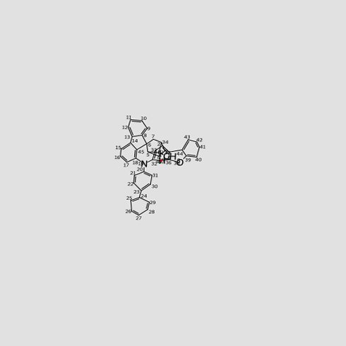 C[C@H]1C2CCC1C1(C2)c2ccccc2-c2cccc(N(c3ccc(-c4ccccc4)cc3)c3ccc4c(c3)oc3ccccc34)c21